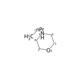 C1COCCN1.CCCC